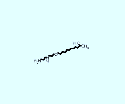 CC(C)CCCCCCCCCCOCCCNCCCN